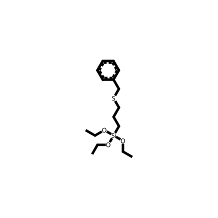 CCO[Si](CCCSCc1ccccc1)(OCC)OCC